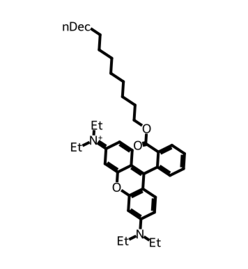 CCCCCCCCCCCCCCCCCCOC(=O)c1ccccc1-c1c2ccc(=[N+](CC)CC)cc-2oc2cc(N(CC)CC)ccc12